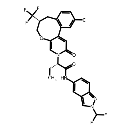 CC[C@@H](C(=O)Nc1ccc2nn(C(F)F)cc2c1)n1cc2c(cc1=O)-c1cc(Cl)ccc1C[C@@H](C(F)(F)F)CO2